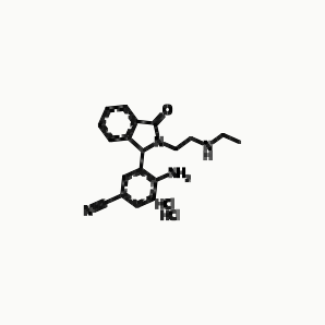 CCNCCN1C(=O)c2ccccc2C1c1cc(C#N)ccc1N.Cl.Cl